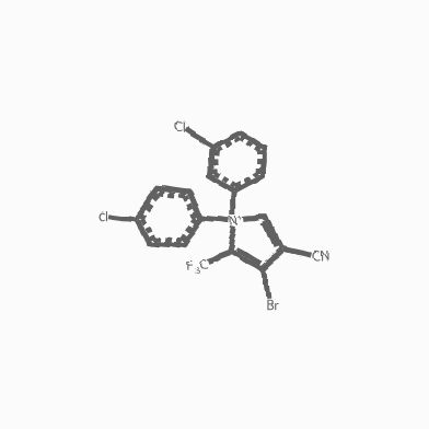 N#CC1=C[N+](c2ccc(Cl)cc2)(c2cccc(Cl)c2)C(C(F)(F)F)=C1Br